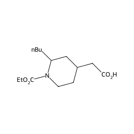 CCCCC1CC(CC(=O)O)CCN1C(=O)OCC